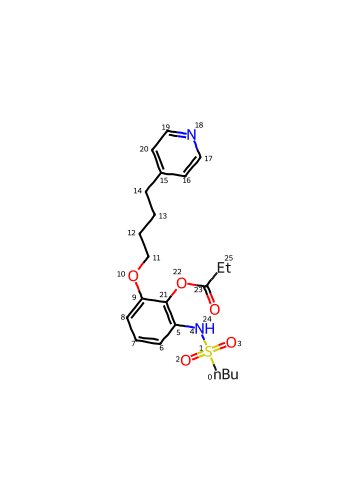 CCCCS(=O)(=O)Nc1cccc(OCCCCc2ccncc2)c1OC(=O)CC